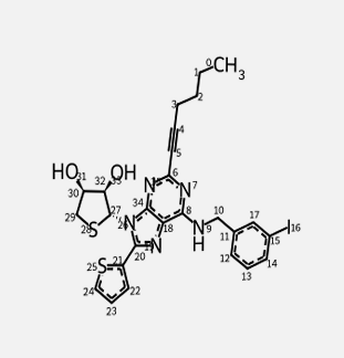 CCCCC#Cc1nc(NCc2cccc(I)c2)c2nc(-c3cccs3)n([C@@H]3SC[C@@H](O)[C@H]3O)c2n1